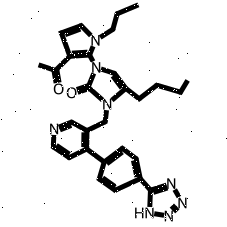 CCCCc1cn(-c2c(C(C)=O)ccn2CCC)c(=O)n1Cc1cnccc1-c1ccc(-c2nnn[nH]2)cc1